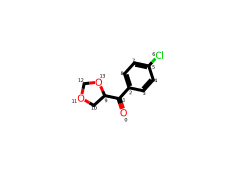 O=C(c1ccc(Cl)cc1)C1COCO1